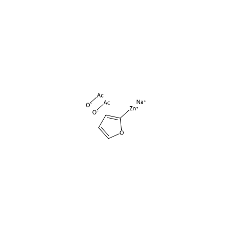 CC(=O)[O-].CC(=O)[O-].[Na+].[Zn+][c]1ccco1